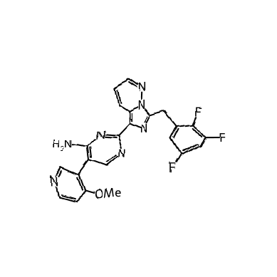 COc1ccncc1-c1cnc(-c2nc(Cc3cc(F)cc(F)c3F)n3ncccc23)nc1N